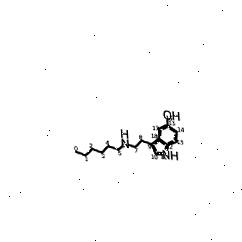 CCCCCCNCCc1c[nH]c2ccc(O)cc12